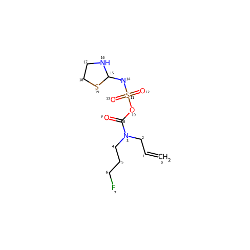 C=CCN(CCCF)C(=O)OS(=O)(=O)[N]C1NCCS1